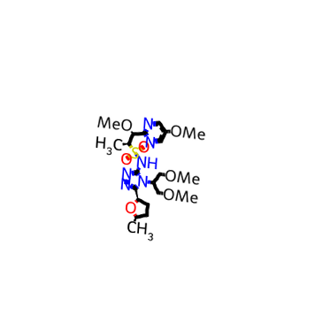 COCC(COC)n1c(NS(=O)(=O)[C@@H](C)[C@H](OC)c2ncc(OC)cn2)nnc1[C@H]1CC[C@@H](C)O1